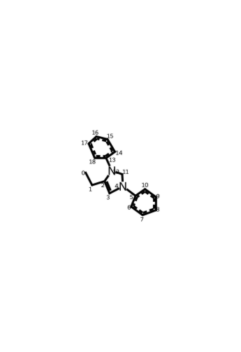 CCC1=CN(c2ccccc2)CN1c1ccccc1